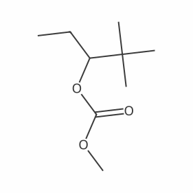 CCC(OC(=O)OC)C(C)(C)C